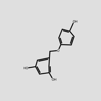 Oc1ccc(OCc2cc(O)cc(O)c2)cc1